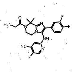 CC1(C)c2nc(-c3ccc(F)c(F)c3)c(Nc3cc(C#N)c(F)cn3)n2CCN1C(=O)CN